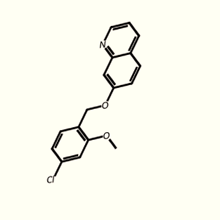 COc1cc(Cl)ccc1COc1ccc2cccnc2c1